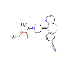 CCOC(=O)C(C)N1CCC(=C2c3ccc(C#N)cc3CCc3cccnc32)CC1